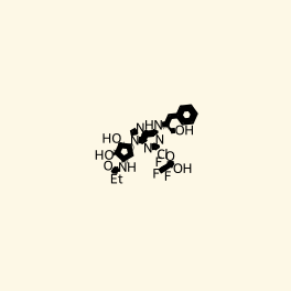 CCC(=O)N[C@H]1C[C@@H](n2cnc3c(N[C@H](CO)Cc4ccccc4)nc(Cl)nc32)[C@H](O)[C@@H]1O.O=C(O)C(F)(F)F